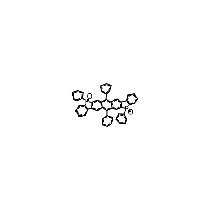 O=P1(c2ccccc2)c2ccccc2-c2cc3c(-c4ccccc4)c4cc5c(cc4c(-c4ccccc4)c3cc21)-c1ccccc1P5(=O)c1ccccc1